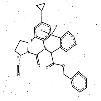 N#C[C@@H]1CCCN1C(=O)N(c1ccc(C2CC2)cc1F)C(C(=O)OCc1ccccc1)c1cnccc1C(F)(F)F